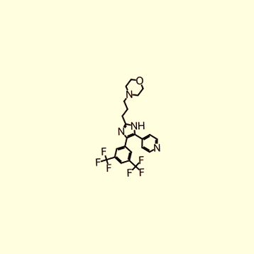 FC(F)(F)c1cc(-c2nc(CCCN3CCOCC3)[nH]c2-c2ccncc2)cc(C(F)(F)F)c1